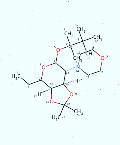 CCC1OC(O[Si](C)(C)C(C)(C)C)[C@H](N2CCOCC2)[C@H]2OC(C)(C)O[C@@H]12